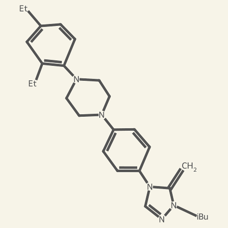 C=C1N(c2ccc(N3CCN(c4ccc(CC)cc4CC)CC3)cc2)C=NN1C(C)CC